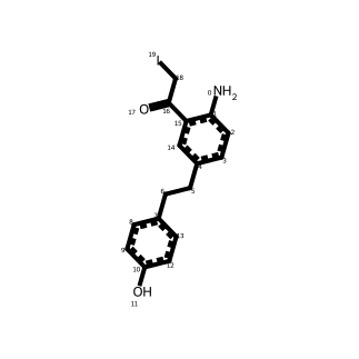 Nc1ccc(CCc2ccc(O)cc2)cc1C(=O)CI